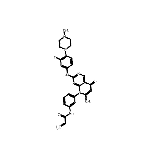 C=CC(=O)Nc1cccc(-n2c(C)cc(=O)c3cnc(Nc4ccc(N5CCN(C)CC5)c(F)c4)nc32)c1